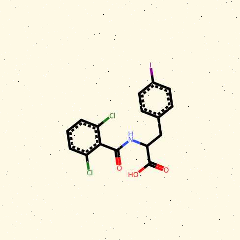 O=C(NC(Cc1ccc(I)cc1)C(=O)O)c1c(Cl)cccc1Cl